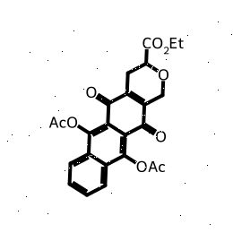 CCOC(=O)C1CC2=C(CO1)C(=O)c1c(c(OC(C)=O)c3ccccc3c1OC(C)=O)C2=O